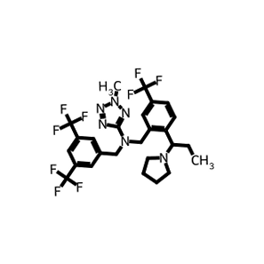 CCC(c1ccc(C(F)(F)F)cc1CN(Cc1cc(C(F)(F)F)cc(C(F)(F)F)c1)c1nnn(C)n1)N1CCCC1